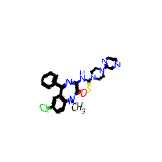 CN1C(=O)C(NC(=S)N2CCN(c3cnccn3)CC2)N=C(c2ccccc2)c2cc(Cl)ccc21